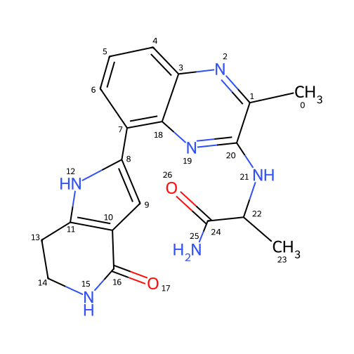 Cc1nc2cccc(-c3cc4c([nH]3)CCNC4=O)c2nc1NC(C)C(N)=O